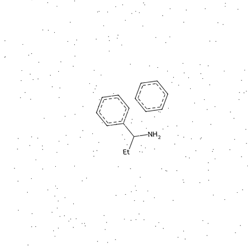 CCC(N)c1ccccc1.c1ccccc1